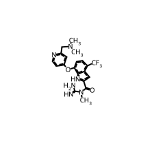 CN(C)Cc1cc(Oc2ccc(C(F)(F)F)c3cc(C(=O)N(C)C(=N)N)[nH]c23)ccn1